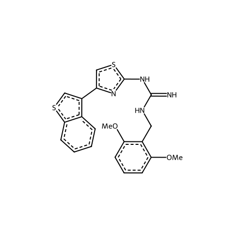 COc1cccc(OC)c1CNC(=N)Nc1nc(-c2csc3ccccc23)cs1